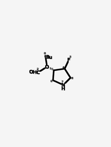 CC(C)(C)OC=O.FC1CCNC1